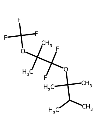 CC(C)C(C)(C)OC(F)(F)C(C)(C)OC(F)(F)F